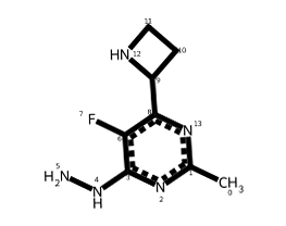 Cc1nc(NN)c(F)c(C2CCN2)n1